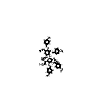 COc1ccc(CO[C@@H]2[C@@H](OCc3ccc(OC)cc3)[C@H](N=[N+]=[N-])C[C@H](N=[N+]=[N-])[C@H]2O[C@H]2O[C@H](C(O)CO)[C@@H](OCc3ccc(OC)cc3)[C@H](OCc3ccc(OC)cc3)[C@H]2N=[N+]=[N-])cc1